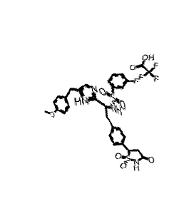 COc1ccc(Cc2cnc(C(Cc3ccc(C4CC(=O)NS4(=O)=O)cc3)NS(=O)(=O)c3cccc(F)c3)[nH]2)cc1.O=C(O)C(F)(F)F